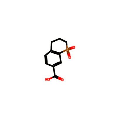 O=C(O)c1ccc2c(c1)S(=O)(=O)CCC2